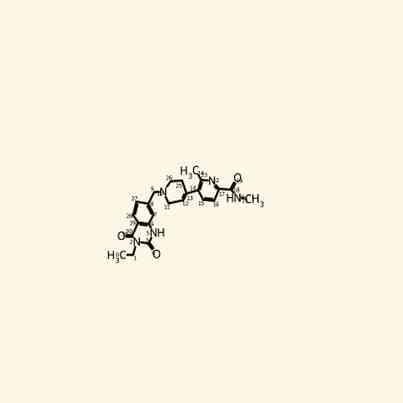 CCn1c(=O)[nH]c2cc(CN3CC=C(c4ccc(C(=O)NC)nc4C)CC3)ccc2c1=O